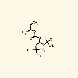 CCC(C)OC(=O)CC(OC(C)(C)C)OC(C)(C)C